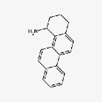 NC1CCCc2ccc3c(ccc4ccccc43)c21